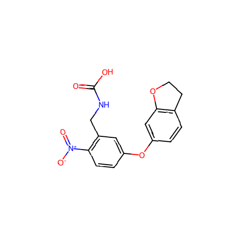 O=C(O)NCc1cc(Oc2ccc3c(c2)OCC3)ccc1[N+](=O)[O-]